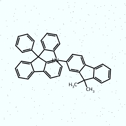 CC1(C)c2ccccc2-c2ccc(Nc3ccccc3C3(c4ccccc4)c4ccccc4-c4ccccc43)cc21